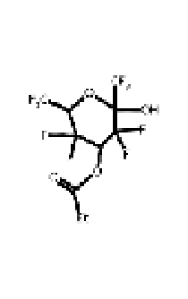 CCC(=O)OC1C(F)(F)C(C(F)(F)F)OC(O)(C(F)(F)F)C1(F)F